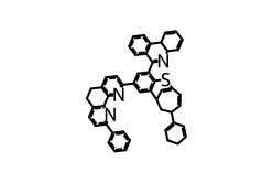 C1=CC2N=C(c3cc(-c4ccc5c(n4)-c4nc(-c6ccccc6)ccc4CC5)cc4c3SC3=CC4CC(C4=CCCC=C4)C=C3)c3ccccc3C2C=C1